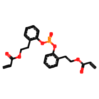 C=CC(=O)OCCc1ccccc1O[PH](=O)Oc1ccccc1CCOC(=O)C=C